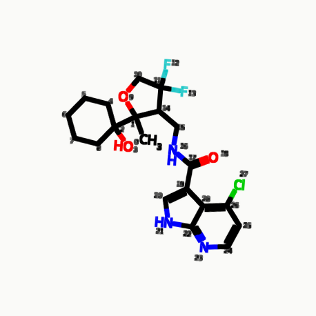 CC1(C2(O)CCCCC2)OCC(F)(F)C1CNC(=O)c1c[nH]c2nccc(Cl)c12